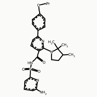 CC(C)Oc1ccc(-c2ccc(C(=O)NS(=O)(=O)c3cccc(N)n3)c(N3CCC(C)C3(C)C)n2)cc1